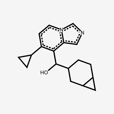 OC(c1c(C2CC2)ccn2cncc12)C1CCC2CC2C1